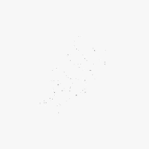 COc1cc(CS(=O)(=O)O)cc(-c2cccc(C3(c4ccc5c(c4)CCC5)N=C(N)N(C)C3=O)c2)c1